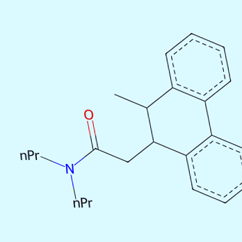 CCCN(CCC)C(=O)CC1c2ccccc2-c2ccccc2C1C